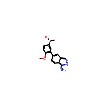 COc1ccc(B(C)O)cc1-c1ccc2c(N)nncc2c1